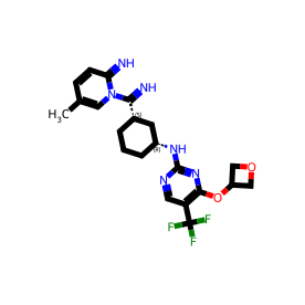 Cc1ccc(=N)n(C(=N)[C@H]2CCC[C@@H](Nc3ncc(C(F)(F)F)c(OC4COC4)n3)C2)c1